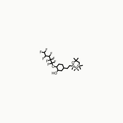 CC1(C)C[Si](C)(C)[Si](C)(C)[Si](C)(CCC2CCC(OC(F)(F)C(F)(F)C(F)C(F)C(F)F)C(O)C2)O1